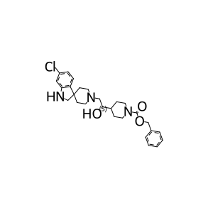 O=C(OCc1ccccc1)N1CCC([C@H](O)CN2CCC3(CC2)CNc2cc(Cl)ccc23)CC1